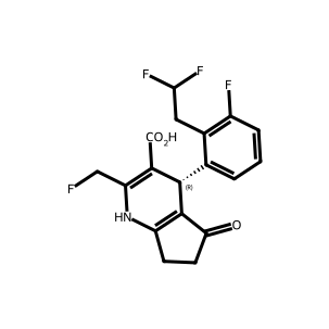 O=C(O)C1=C(CF)NC2=C(C(=O)CC2)[C@H]1c1cccc(F)c1CC(F)F